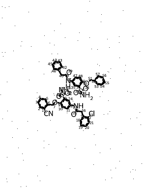 N#Cc1ccccc1COc1ccc(NC(=O)Cc2ccccc2Cl)cc1S(N)(=O)=O.NS(=O)(=O)c1cc(NC(=O)Cc2ccccc2)ccc1OCc1ccccc1